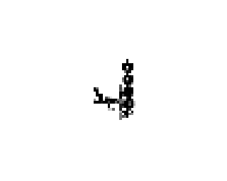 CCCCC(CC)COC(=O)CCSc1c(-c2ccc(C3CCC(C4CCC(C)CC4)CC3)c(F)c2F)ccc(OC(F)(F)F)c1F